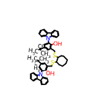 CC(C)(C)c1cc(CSC2CCCCCCC2SCc2cc(C(C)(C)C)cc(-n3c4ccccc4c4ccccc43)c2O)c(O)c(-n2c3ccccc3c3ccccc32)c1